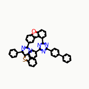 c1ccc(-c2ccc(-c3nc(-c4ccccc4)nc(-c4cccc5oc6ccc(-c7nc(-c8ccccc8)c8sc9ccccc9c8n7)cc6c45)n3)cc2)cc1